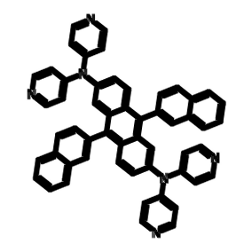 c1ccc2cc(-c3c4ccc(N(c5ccncc5)c5ccncc5)cc4c(-c4ccc5ccccc5c4)c4ccc(N(c5ccncc5)c5ccncc5)cc34)ccc2c1